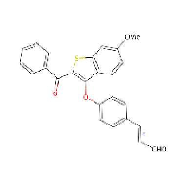 COc1ccc2c(Oc3ccc(/C=C/C=O)cc3)c(C(=O)c3ccccc3)sc2c1